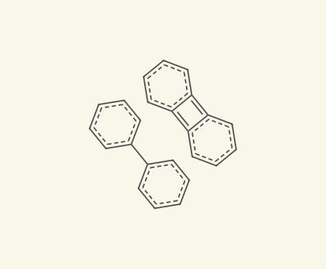 c1ccc(-c2ccccc2)cc1.c1ccc2c(c1)=c1ccccc1=2